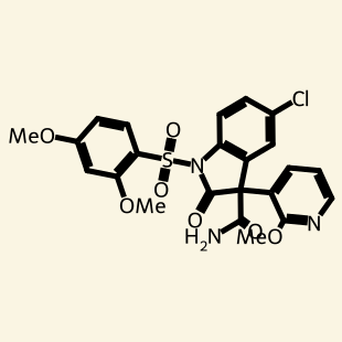 COc1ccc(S(=O)(=O)N2C(=O)C(C(N)=O)(c3cccnc3OC)c3cc(Cl)ccc32)c(OC)c1